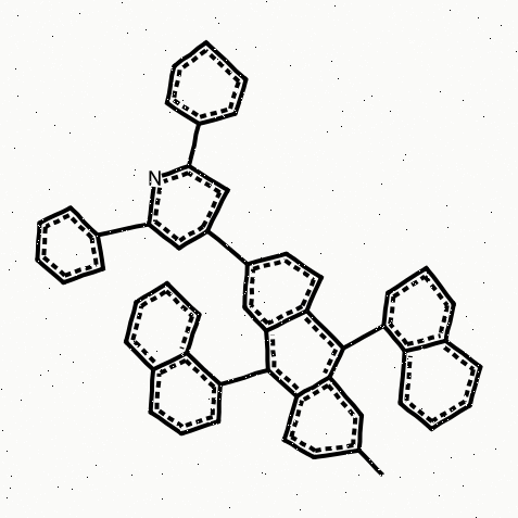 Cc1ccc2c(-c3cccc4ccccc34)c3cc(-c4cc(-c5ccccc5)nc(-c5ccccc5)c4)ccc3c(-c3cccc4ccccc34)c2c1